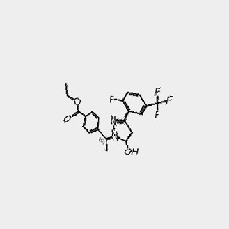 CCOC(=O)c1ccc([C@H](C)N2N=C(c3cc(C(F)(F)F)ccc3F)CC2O)cc1